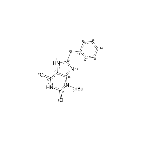 CCCCn1c(=O)[nH]c(=O)c2[nH]c(Cc3ccccc3)nc21